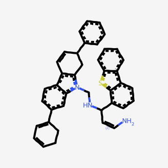 N/C=C\C(NCn1c2c(c3ccc(C4=CC=CCC4)cc31)C=CC(c1ccccc1)C2)c1cccc2c1sc1ccccc12